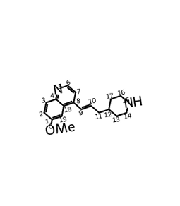 COc1ccc2nccc(C=CCC3CCNCC3)c2c1